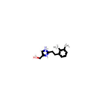 Cc1cccc(CCc2nc(CO)c[nH]2)c1C